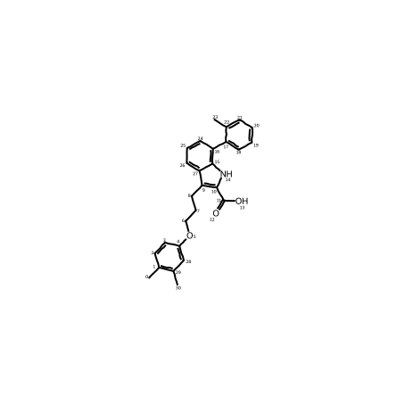 Cc1ccc(OCCCc2c(C(=O)O)[nH]c3c(-c4ccccc4C)cccc23)cc1C